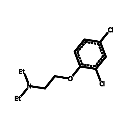 CCN(CC)CCOc1ccc(Cl)cc1Cl